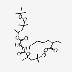 CCCCC(CC)C(=O)OOC(C)(C)CC(C)OC(=O)NNC(=O)OC(C)CC(C)(C)OOC(C)(C)C